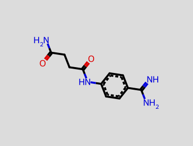 N=C(N)c1ccc(NC(=O)CCC(N)=O)cc1